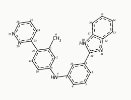 Cc1cc(Nc2cccc(-c3nc4ccccc4[nH]3)c2)ccc1-c1cccnn1